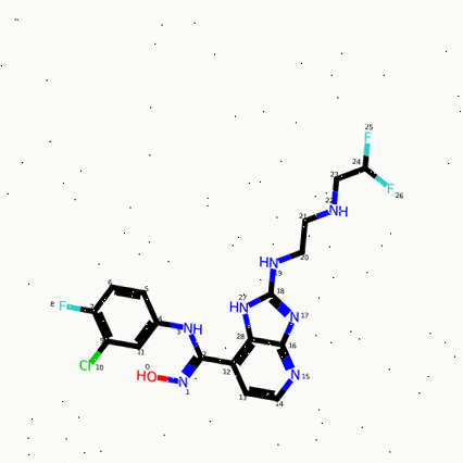 O/N=C(\Nc1ccc(F)c(Cl)c1)c1ccnc2nc(NCCNCC(F)F)[nH]c12